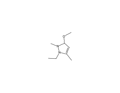 CCN1C(C)=CC(OC)N1C